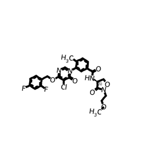 COCCN1OC[C@H](NC(=O)c2ccc(C)c(-n3cnc(OCc4ccc(F)cc4F)c(Cl)c3=O)c2)C1=O